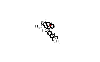 CCc1cc2ccc(C(c3ccccc3)C(O)(CCN(C)C)c3cc(F)cc(F)c3)cc2nc1Cl